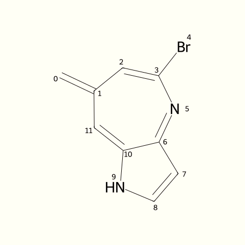 C=C1C=C(Br)N=c2cc[nH]c2=C1